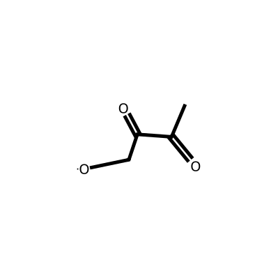 CC(=O)C(=O)C[O]